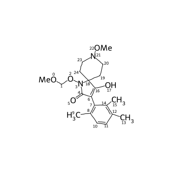 COCON1C(=O)C(c2c(C)ccc(C)c2C)=C(O)C12CCN(OC)CC2